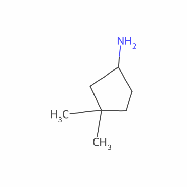 CC1(C)CCC(N)C1